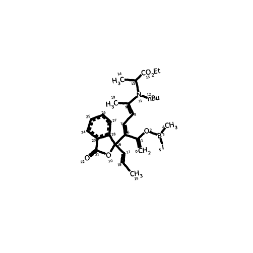 C=C(OB(C)I)/C(=C\C=C(/C)N(CCCC)C(C)C(=O)OCC)C1(/C=C/C)OC(=O)c2ccccc21